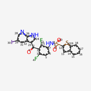 O=C(c1c(F)ccc(NS(=O)(=O)c2cc3ccccc3s2)c1F)c1c[nH]c2ncc(I)cc12